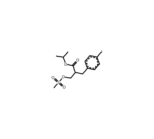 CC(C)OC(=O)C(COS(C)(=O)=O)Cc1ccc(I)cc1